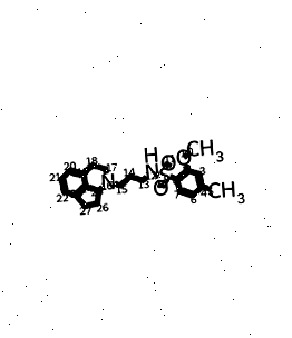 COc1cc(C)ccc1S(=O)(=O)NCCCN1CCc2cccc3c2C1CC3